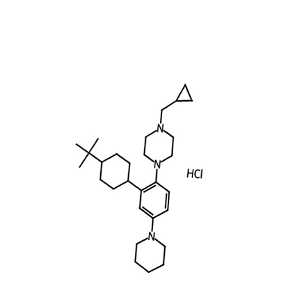 CC(C)(C)C1CCC(c2cc(N3CCCCC3)ccc2N2CCN(CC3CC3)CC2)CC1.Cl